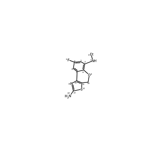 CCNc1cc(F)cc2c1OCc1sc(N)nc1-2